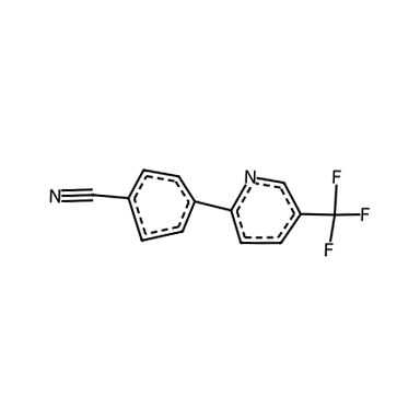 N#Cc1ccc(-c2ccc(C(F)(F)F)cn2)cc1